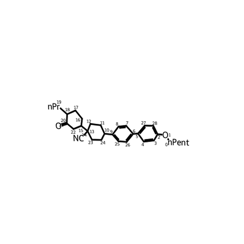 CCCCCOc1ccc(-c2ccc(C3CCC(C#N)(C4CCC(CCC)C(=O)C4)CC3)cc2)cc1